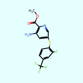 COC(=O)c1ncc(Sc2ccc(C(F)(F)F)cc2F)cc1N